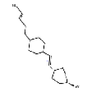 CCC[C@H]1CC[C@H](/C=C/C2CCC(CCC=CC#N)CC2)CC1